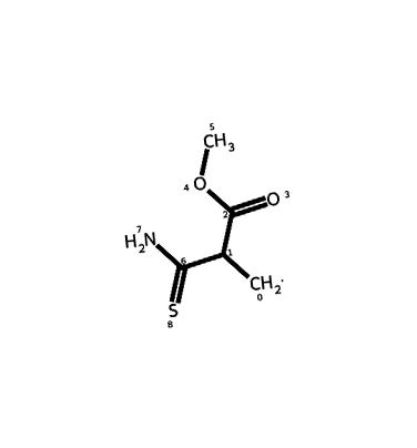 [CH2]C(C(=O)OC)C(N)=S